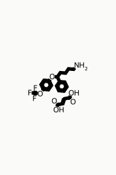 NCCCCC(Oc1ccc(OC(F)(F)F)cc1)c1ccccc1.O=C(O)C=CC(=O)O